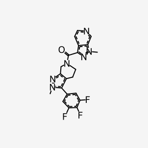 Cn1nc2c(c1-c1cc(F)c(F)c(F)c1)CCN(C(=O)c1nn(C)c3cnccc13)C2